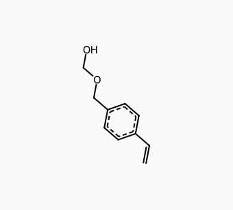 C=Cc1ccc(COCO)cc1